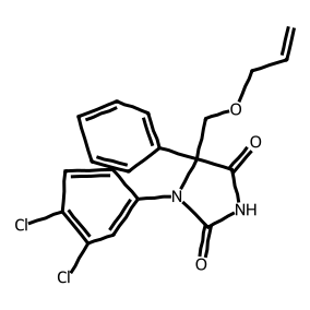 C=CCOCC1(c2ccccc2)C(=O)NC(=O)N1c1ccc(Cl)c(Cl)c1